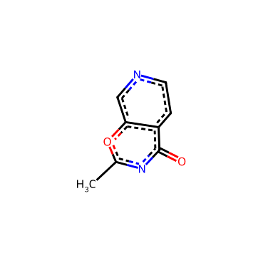 Cc1nc(=O)c2ccncc2o1